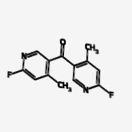 Cc1cc(F)ncc1C(=O)c1cnc(F)cc1C